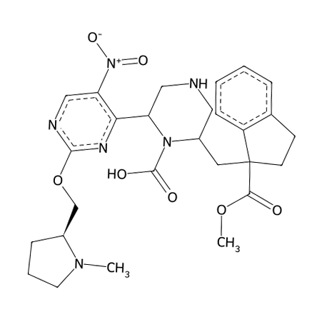 COC(=O)C1(CC2CNCC(c3nc(OC[C@@H]4CCCN4C)ncc3[N+](=O)[O-])N2C(=O)O)CCc2ccccc21